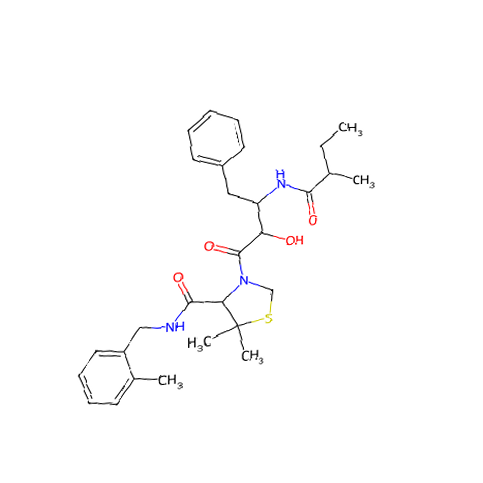 CCC(C)C(=O)NC(Cc1ccccc1)C(O)C(=O)N1CSC(C)(C)C1C(=O)NCc1ccccc1C